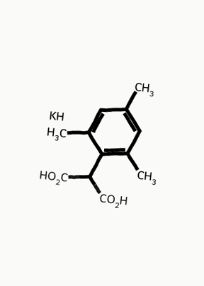 Cc1cc(C)c(C(C(=O)O)C(=O)O)c(C)c1.[KH]